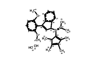 COc1cccc(OC)c1C1=C[CH]([Zr]([C]2=C(C)C(C)=C(C)C2C)=[Si](C)C)c2ccccc21.Cl.Cl